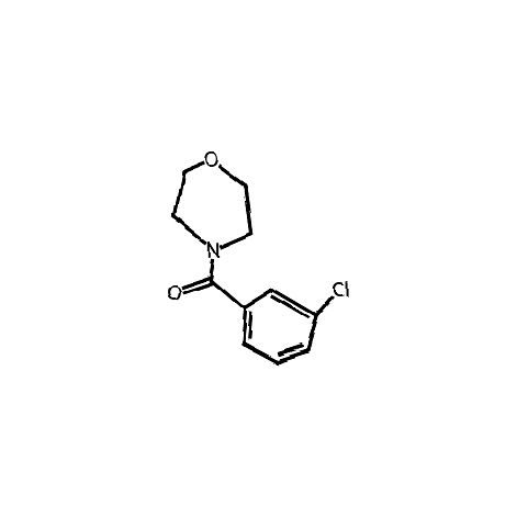 O=C(c1cccc(Cl)c1)N1CCOCC1